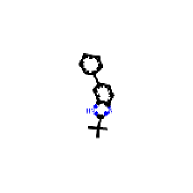 CC(C)(C)c1nc2ccc(-c3ccccc3)cc2[nH]1